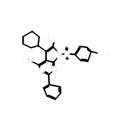 Cc1ccc(S(=O)(=O)n2c(C)c(C3CCCCC3)c3c(N)nc(-c4ccccc4)nc32)cc1